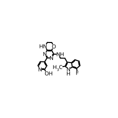 Cc1[nH]c2c(F)cccc2c1CCNc1nc(-c2ccnc(O)c2)nc2c1OCCN2